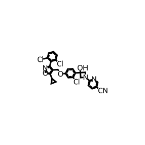 N#Cc1ccc(N2CC(O)(c3ccc(OCc4c(-c5c(Cl)cccc5Cl)noc4C4CC4)cc3Cl)C2)nc1